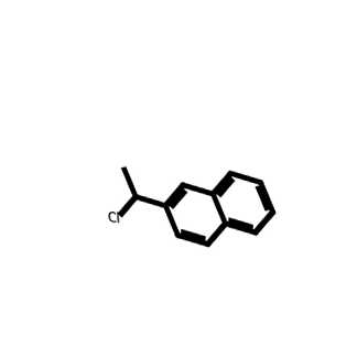 CC(Cl)c1ccc2ccccc2c1